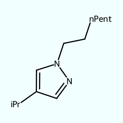 CCCCCCCn1cc(C(C)C)cn1